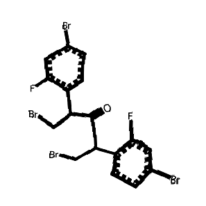 O=C(C(CBr)c1ccc(Br)cc1F)C(CBr)c1ccc(Br)cc1F